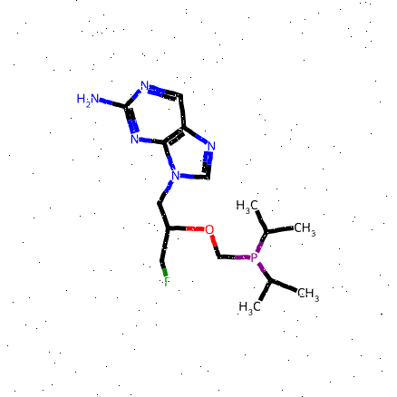 CC(C)P(COC(CF)Cn1cnc2cnc(N)nc21)C(C)C